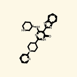 O=c1[nH]c(C2CCN(c3ccccn3)CC2)nc(N[C@@H]2CCCNC2)c1-c1nc2ccccc2s1